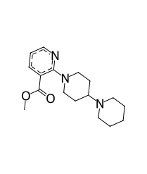 COC(=O)c1cccnc1N1CCC(N2CCCCC2)CC1